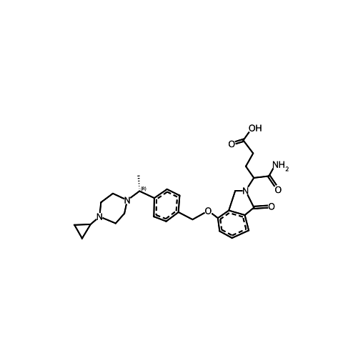 C[C@H](c1ccc(COc2cccc3c2CN(C(CCC(=O)O)C(N)=O)C3=O)cc1)N1CCN(C2CC2)CC1